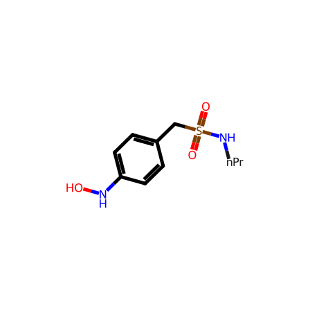 CCCNS(=O)(=O)Cc1ccc(NO)cc1